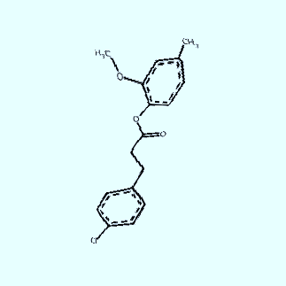 COc1cc(C)ccc1OC(=O)CCc1ccc(Cl)cc1